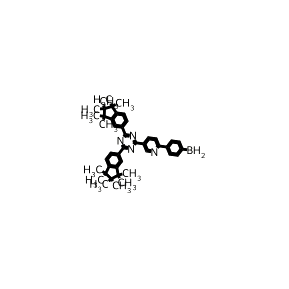 Bc1ccc(-c2ccc(-c3nc(-c4ccc5c(c4)C(C)(C)C(C)(C)C5(C)C)nc(-c4ccc5c(c4)C(C)(C)C(C)(C)C5(C)C)n3)cn2)cc1